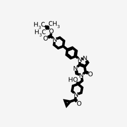 CC(C)(C)OC(=O)N1CCC(c2ccc(-n3ncc4c(=O)n(CC5(O)CCN(C(=O)C6CC6)CC5)cnc43)cc2)CC1